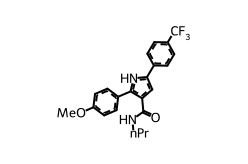 CCCNC(=O)c1cc(-c2ccc(C(F)(F)F)cc2)[nH]c1-c1ccc(OC)cc1